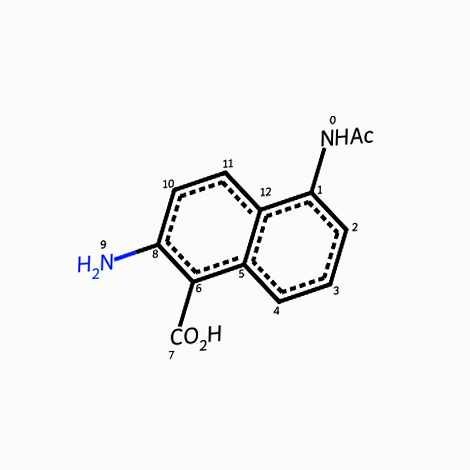 CC(=O)Nc1cccc2c(C(=O)O)c(N)ccc12